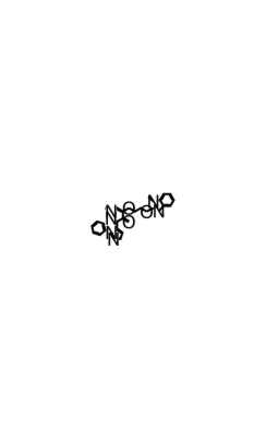 Cn1cc(OCCOc2nc3ccccc3n2C)c(=O)c(-c2ccnn2-c2ccccc2)n1